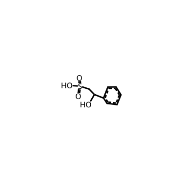 O=S(=O)(O)CC(O)c1ccccc1